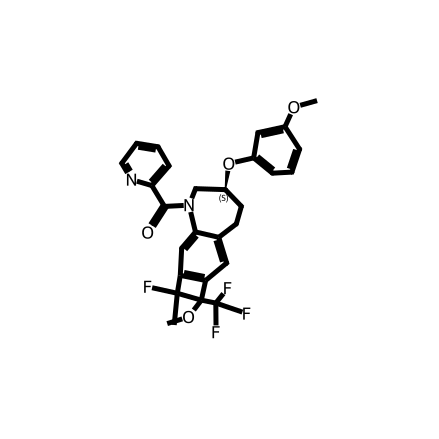 COc1cccc(O[C@H]2CCc3cc4c(cc3N(C(=O)c3ccccn3)C2)C(C)(F)C4(OC)C(F)(F)F)c1